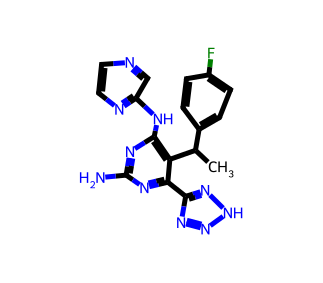 CC(c1ccc(F)cc1)c1c(Nc2cnccn2)nc(N)nc1-c1nn[nH]n1